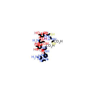 CN(Cc1cnc2nc(N)nc(N)c2n1)c1ccc(C(=O)NC(CCC(=O)O)C(=O)NC2C(OC3C(CO)OC(OC4C(CO)OC(O)C(NC(=O)C(CS)NCCNC(CS)C(=O)O)C4O)C(N)C3O)OC(CO)C(O)C2O)cc1